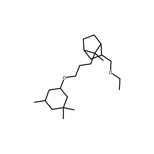 CCOCC1CC2CCC1C2(C)CCCOC1CC(C)CC(C)(C)C1